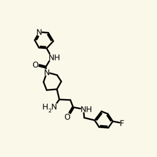 NC(CC(=O)NCc1ccc(F)cc1)C1CCN(C(=O)Nc2ccncc2)CC1